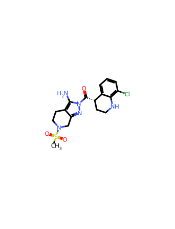 CS(=O)(=O)N1CCc2c(nn(C(=O)[C@H]3CCNc4c(Cl)cccc43)c2N)C1